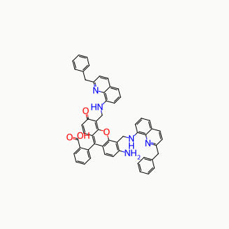 Nc1ccc2c(-c3ccccc3C(=O)O)c3ccc(=O)c(CNc4cccc5ccc(Cc6ccccc6)nc45)c-3oc2c1CNc1cccc2ccc(Cc3ccccc3)nc12